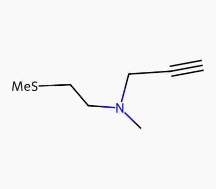 C#CCN(C)CCSC